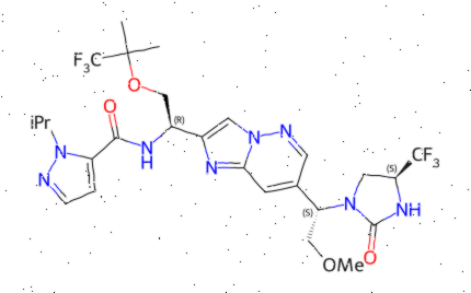 COC[C@H](c1cnn2cc([C@H](COC(C)(C)C(F)(F)F)NC(=O)c3ccnn3C(C)C)nc2c1)N1C[C@@H](C(F)(F)F)NC1=O